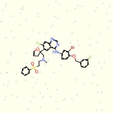 CN(CCS(=O)(=O)c1ccccc1)CC1(c2cc3c(Nc4ccc(OCc5cccc(F)c5)c(Br)c4)ncnc3cc2F)CC=CO1